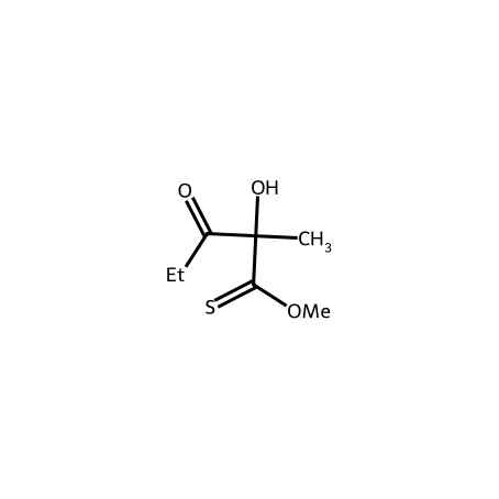 CCC(=O)C(C)(O)C(=S)OC